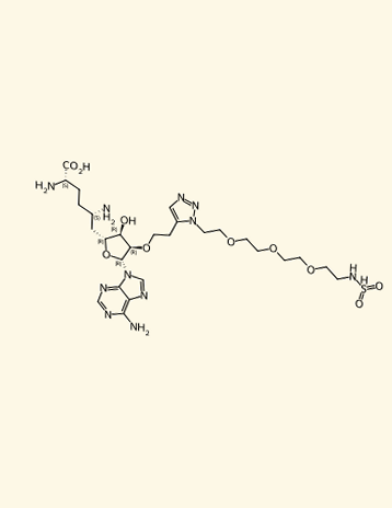 Nc1ncnc2c1ncn2[C@@H]1O[C@H](C[C@@H](N)CC[C@H](N)C(=O)O)[C@@H](O)[C@H]1OCCc1cnnn1CCOCCOCCOCCN[SH](=O)=O